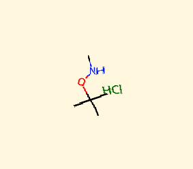 CNOC(C)(C)C.Cl